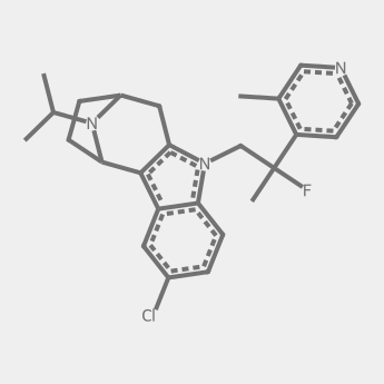 Cc1cnccc1C(C)(F)Cn1c2c(c3cc(Cl)ccc31)C1CCC(C2)N1C(C)C